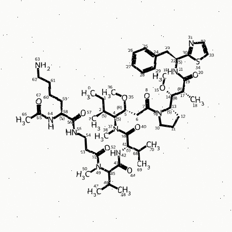 CC[C@H](C)[C@@H]([C@@H](CC(=O)N1CCC[C@H]1[C@H](OC)[C@@H](C)C(=O)N[C@@H](Cc1ccccc1)c1nccs1)OC)N(C)C(=O)[C@@H](NC(=O)C(C(C)C)N(C)C(=O)CCNC(=O)[C@H](CCCCN)NC(C)=O)C(C)C